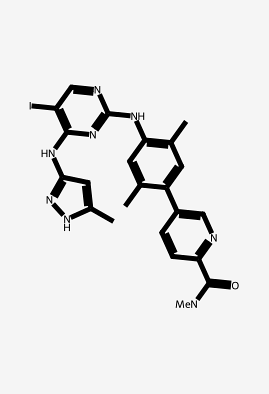 CNC(=O)c1ccc(-c2cc(C)c(Nc3ncc(I)c(Nc4cc(C)[nH]n4)n3)cc2C)cn1